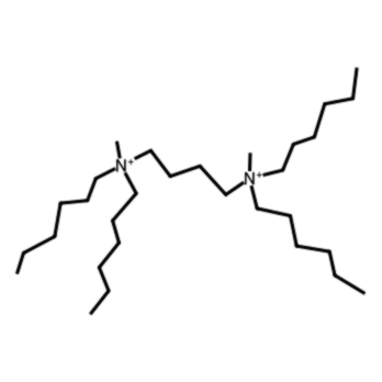 CCCCCC[N+](C)(CCCCCC)CCCC[N+](C)(CCCCCC)CCCCCC